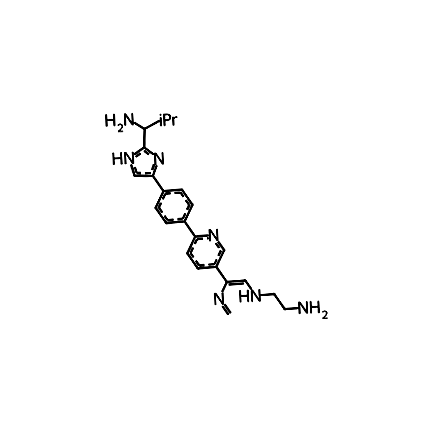 C=N/C(=C\NCCN)c1ccc(-c2ccc(-c3c[nH]c(C(N)C(C)C)n3)cc2)nc1